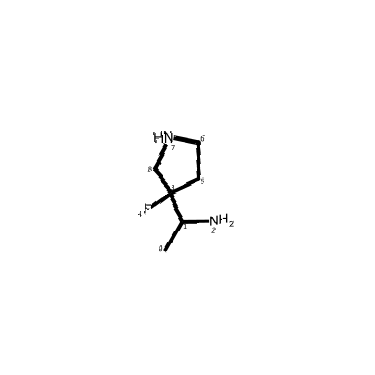 CC(N)C1(F)CCNC1